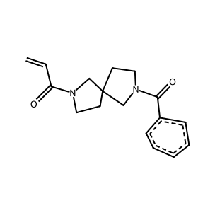 C=CC(=O)N1CCC2(CCN(C(=O)c3ccccc3)C2)C1